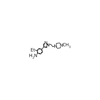 CCc1cc(-c2cnn(CCN3CCN(C)CC3)c2)ccc1N